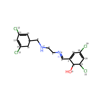 OC1C(/C=N/CCNCC2C=C(Cl)C=C(Cl)C2)=CC(Cl)=CC1Cl